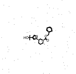 C[C@@H]1CC[C@@H](n2cc(C(C)(C)O)cn2)CN1C(=O)OCc1ccccc1